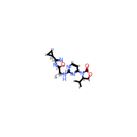 CC(C)C1COC(=O)N1c1ccnc(N[C@H](C)c2nc(C3CC3)no2)n1